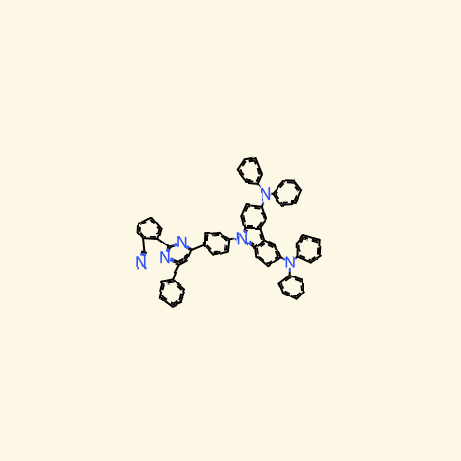 N#Cc1ccccc1-c1nc(-c2ccccc2)cc(-c2ccc(-n3c4ccc(N(c5ccccc5)c5ccccc5)cc4c4cc(N(c5ccccc5)c5ccccc5)ccc43)cc2)n1